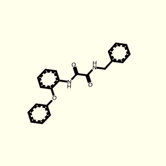 O=C(NCc1ccccc1)C(=O)Nc1ccccc1Oc1ccccc1